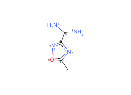 Cc1nc(C(N)N)no1